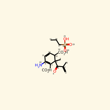 C=C(C)C(=O)C1(C)C(C(=O)O)=C(N)C=CC1C(=O)O.CCCS(=O)(=O)O